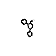 O=CC1CCN(c2ccccc2)CN1c1ccccc1